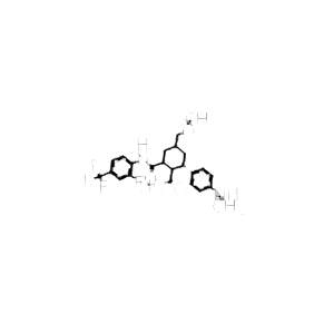 CNc1ccc([C@H]2CC(COC)CC(C(=O)Nc3ccc(C(F)(F)F)cc3F)C2C(=O)O)cc1